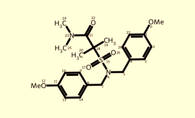 COc1ccc(CN(Cc2ccc(OC)cc2)S(=O)(=O)C(C)(C)C(=O)N(C)C)cc1